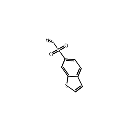 CC(C)(C)S(=O)(=O)c1ccc2ccsc2c1